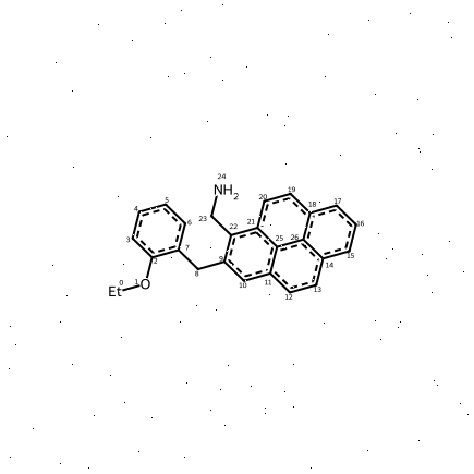 CCOc1ccccc1Cc1cc2ccc3cccc4ccc(c1CN)c2c34